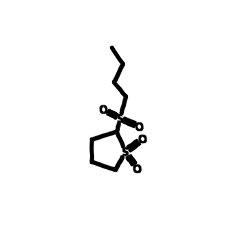 CCCCS(=O)(=O)C1CCCS1(=O)=O